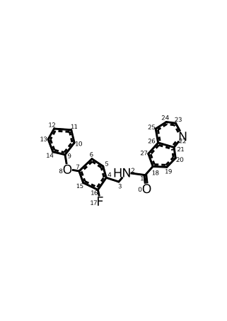 O=C(NCc1ccc(Oc2ccccc2)cc1F)c1ccc2ncccc2c1